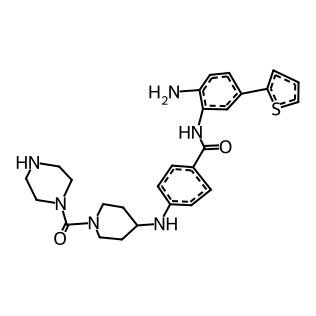 Nc1ccc(-c2cccs2)cc1NC(=O)c1ccc(NC2CCN(C(=O)N3CCNCC3)CC2)cc1